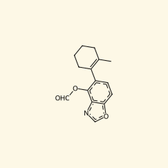 CC1=C(c2ccc3ocnc3c2OC=O)CCCC1